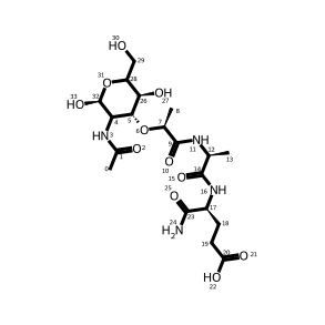 CC(=O)NC1[C@@H](O[C@@H](C)C(=O)N[C@@H](C)C(=O)N[C@@H](CCC(=O)O)C(N)=O)[C@H](O)C(CO)O[C@@H]1O